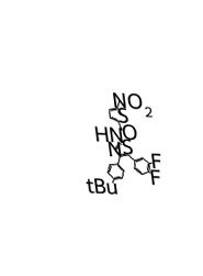 CC(C)(C)c1ccc(-c2nc(NC(=O)c3ccc([N+](=O)[O-])s3)sc2-c2ccc(F)c(F)c2)cc1